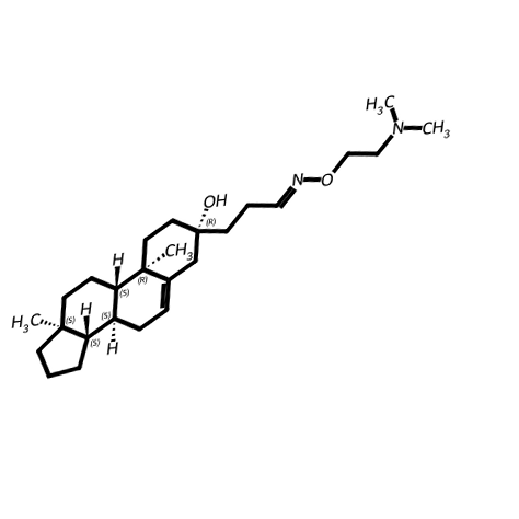 CN(C)CCON=CCC[C@]1(O)CC[C@@]2(C)C(=CC[C@H]3[C@@H]4CCC[C@@]4(C)CC[C@@H]32)C1